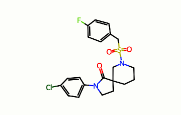 O=C1N(c2ccc(Cl)cc2)CCC12CCCN(S(=O)(=O)Cc1ccc(F)cc1)C2